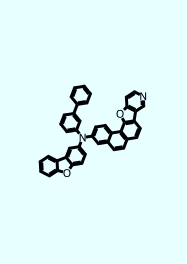 c1ccc(-c2cccc(N(c3ccc4c(ccc5ccc6c7cnccc7oc6c54)c3)c3ccc4oc5ccccc5c4c3)c2)cc1